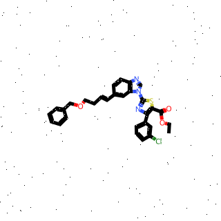 CCOC(=O)c1sc(-n2cnc3ccc(C=CCCOCc4ccccc4)cc32)nc1-c1cccc(Cl)c1